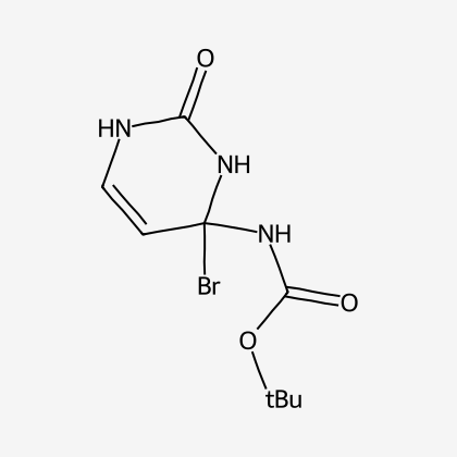 CC(C)(C)OC(=O)NC1(Br)C=CNC(=O)N1